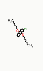 CCCCCCCCOc1c2ccccc2c(OCCCCCCCC)c2cc(Cl)ccc12